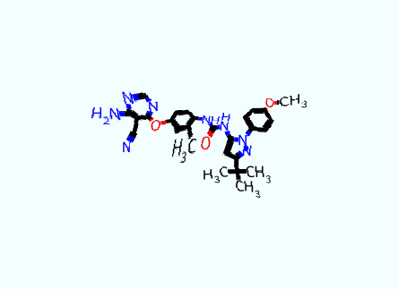 COc1ccc(-n2nc(C(C)(C)C)cc2NC(=O)Nc2ccc(Oc3ncnc(N)c3C#N)cc2C)cc1